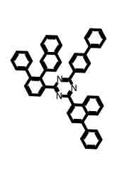 c1ccc(-c2ccc(-c3nc(-c4cccc(-c5ccccc5)c4-c4ccc5ccccc5c4)nc(-c4ccc(-c5ccccc5)c5ccccc45)n3)cc2)cc1